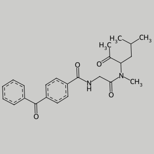 CC(=O)C(CC(C)C)N(C)C(=O)CNC(=O)c1ccc(C(=O)c2ccccc2)cc1